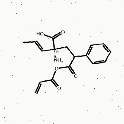 C=CC(=O)OC(=O)C(C[C@@](N)(C=CC)C(=O)O)c1ccccc1